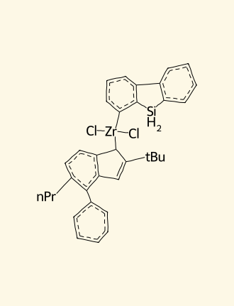 CCCc1ccc2c(c1-c1ccccc1)C=C(C(C)(C)C)[CH]2[Zr]([Cl])([Cl])[c]1cccc2c1[SiH2]c1ccccc1-2